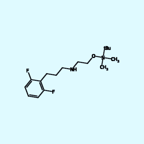 CC(C)(C)[Si](C)(C)OCCNCCCc1c(F)cccc1F